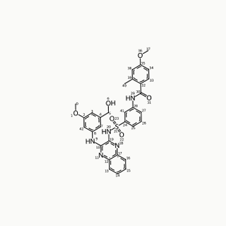 COc1cc(CO)cc(Nc2nc3ccccc3nc2NS(=O)(=O)c2cccc(NC(=O)c3ccc(OC)cc3C)c2)c1